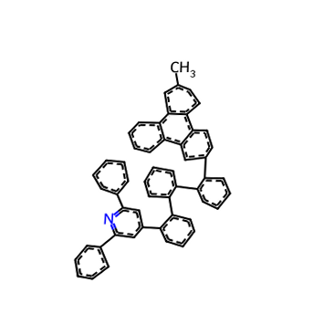 Cc1ccc2c3ccc(-c4ccccc4-c4ccccc4-c4ccccc4-c4cc(-c5ccccc5)nc(-c5ccccc5)c4)cc3c3ccccc3c2c1